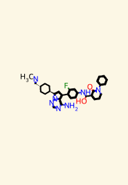 C/N=C/[C@H]1CC[C@H](c2cc(-c3ccc(NC(O)c4cccn(-c5ccccc5)c4=O)cc3F)c3c(N)ncnn32)CC1